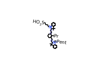 CCCCC[N+]1=C(/C=C/C2=C(C(C)C)C(=C/C=C3/N(CCCCS(=O)(=O)O)c4ccccc4C3(C)C)/CCC2)C(C)(C)c2ccccc21